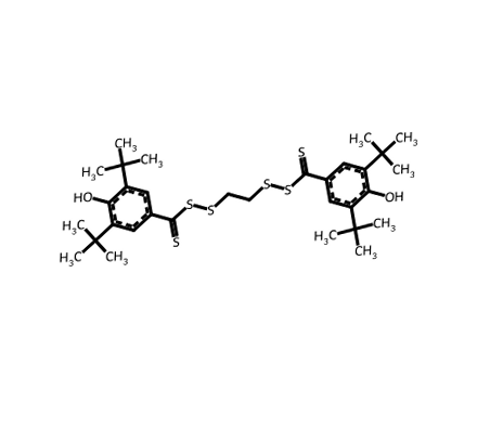 CC(C)(C)c1cc(C(=S)SSCCSSC(=S)c2cc(C(C)(C)C)c(O)c(C(C)(C)C)c2)cc(C(C)(C)C)c1O